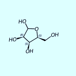 OC[C@@H]1OC(O)[C@H](O)[C@@H]1O